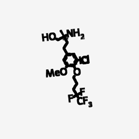 COc1cc(CC[C@@](C)(N)CO)cc(Cl)c1OCCCC(F)(F)C(F)(F)F.Cl